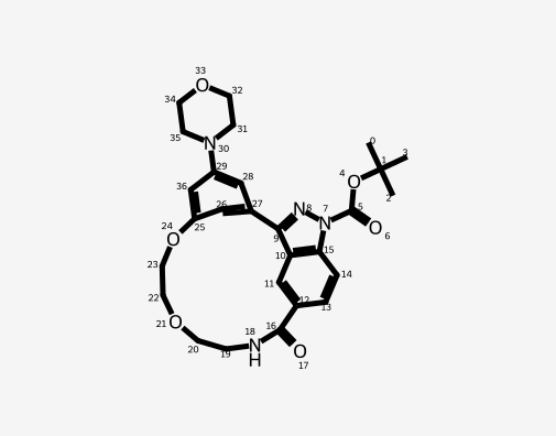 CC(C)(C)OC(=O)n1nc2c3cc(ccc31)C(=O)NCCOCCOc1cc-2cc(N2CCOCC2)c1